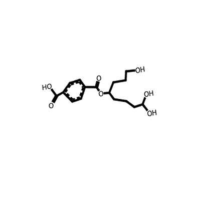 O=C(O)c1ccc(C(=O)OC(CCCO)CCCC(O)O)cc1